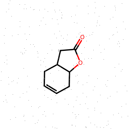 O=C1[C]C2CC=CCC2O1